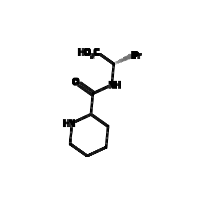 CC(C)[C@H](NC(=O)C1CCCCN1)C(=O)O